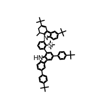 CC1CC(C(C)(C)C)=Cc2c1n(-c1cccc(-c3cc(-c4ccc(C(C)(C)C)cc4)cc4c3[nH]c3ccc(-c5ccc(C(C)(C)C)cc5)cc34)c1[Si](C)(C)C)c1ccc(C(C)(C)C)cc21